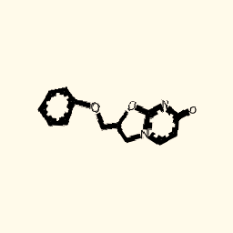 O=c1ccn2c(n1)OC(COc1ccccc1)C2